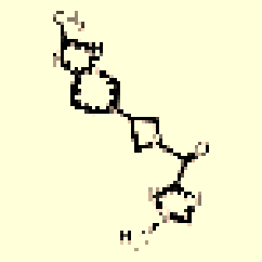 Cc1nc2ccc(C3CN(C(=O)c4ncn(C)n4)C3)cn2n1